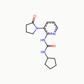 O=C(Nc1ncccc1N1CCCC1=O)NC1CCCC1